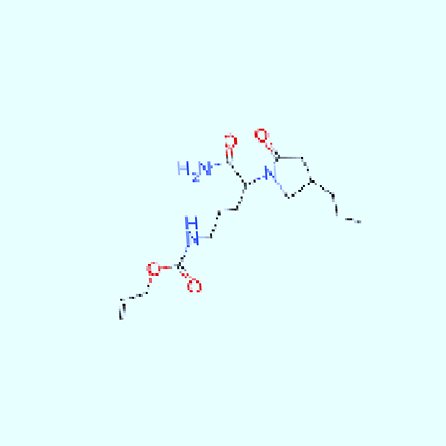 C=CCOC(=O)NCCCC(C(N)=O)N1CC(CCC)CC1=O